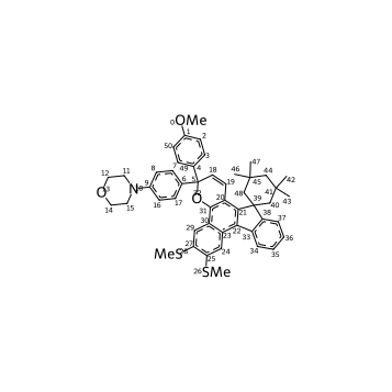 COc1ccc(C2(c3ccc(N4CCOCC4)cc3)C=Cc3c4c(c5cc(SC)c(SC)cc5c3O2)-c2ccccc2C42CC(C)(C)CC(C)(C)C2)cc1